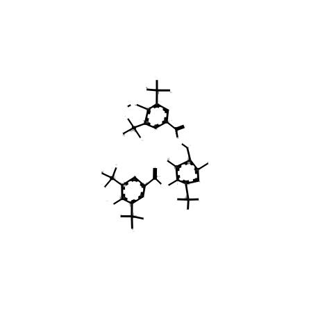 Cc1cc(C(C)(C)C)c(OC(=O)c2cc(C(C)(C)C)c(O)c(C(C)(C)C)c2)c(C)c1COC(=O)c1cc(C(C)(C)C)c(SO)c(C(C)(C)C)c1